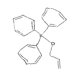 C=CCO[Si](c1ccccc1)(c1ccccc1)c1ccccc1